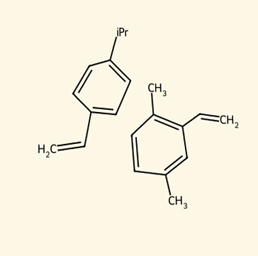 C=Cc1cc(C)ccc1C.C=Cc1ccc(C(C)C)cc1